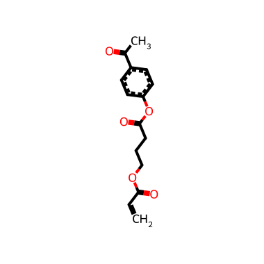 C=CC(=O)OCCCC(=O)Oc1ccc(C(C)=O)cc1